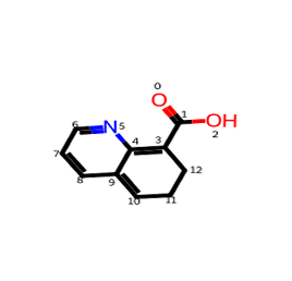 O=C(O)C1=c2ncccc2=CCC1